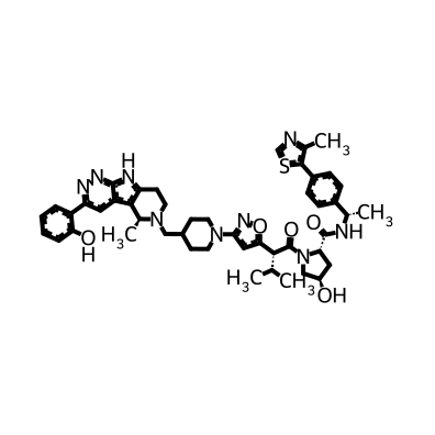 Cc1ncsc1-c1ccc([C@H](C)NC(=O)[C@@H]2C[C@@H](O)CN2C(=O)[C@@H](c2cc(N3CCC(CN4CCc5[nH]c6nnc(-c7ccccc7O)cc6c5[C@@H]4C)CC3)no2)C(C)C)cc1